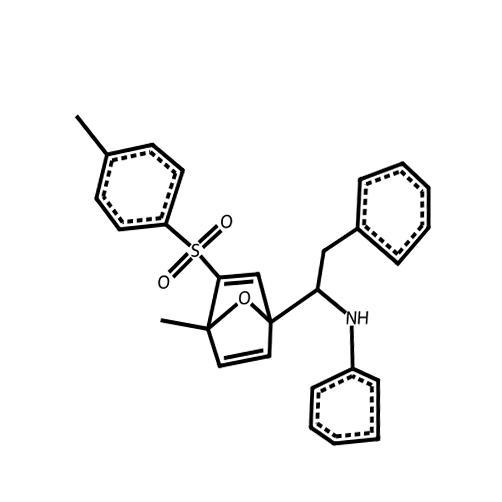 Cc1ccc(S(=O)(=O)C2=CC3(C(Cc4ccccc4)Nc4ccccc4)C=CC2(C)O3)cc1